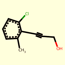 Cc1cccc(Cl)c1C#CCO